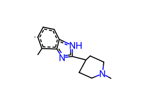 Cc1[c]ccc2[nH]c(C3CCN(C)CC3)nc12